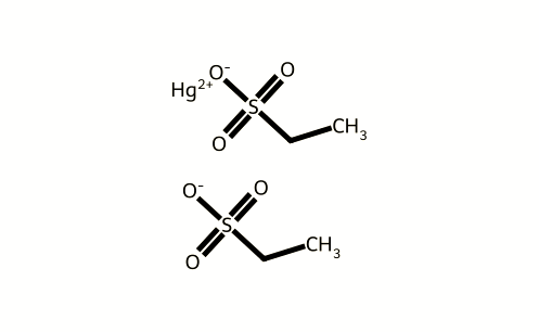 CCS(=O)(=O)[O-].CCS(=O)(=O)[O-].[Hg+2]